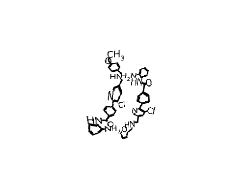 COc1ccc(CNCc2cnc(-c3ccc(C(=O)Nc4ccccc4N)cc3)c(Cl)c2)cc1.Nc1ccccc1NC(=O)c1ccc(-c2ncc(CNCC3CCCO3)cc2Cl)cc1